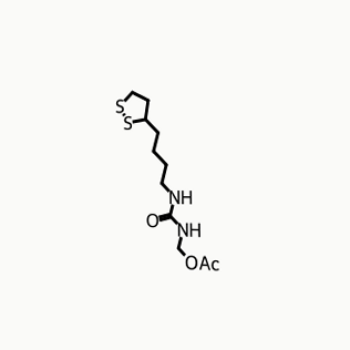 CC(=O)OCNC(=O)NCCCCC1CCSS1